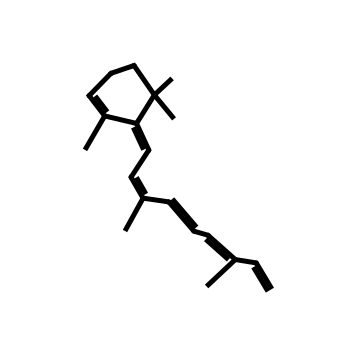 C=C/C(C)=C/C=C/C(C)=CC=C1C(C)=CCCC1(C)C